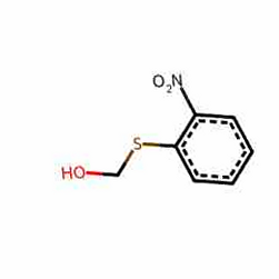 O=[N+]([O-])c1ccccc1SCO